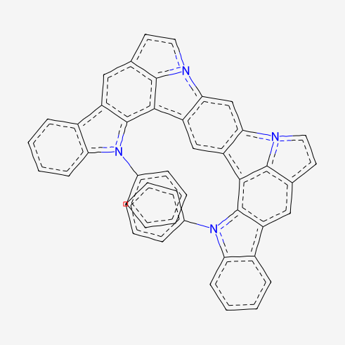 c1ccc(-n2c3ccccc3c3cc4ccn5c6cc7c(cc6c(c32)c45)c2c3c(cc4ccn7c42)c2ccccc2n3-c2ccccc2)cc1